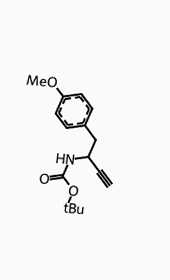 C#CC(Cc1ccc(OC)cc1)NC(=O)OC(C)(C)C